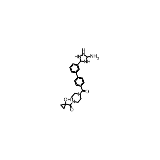 NC1NNC(c2cccc(-c3ccc(C(=O)N4CCN(C(=O)C5(O)CC5)CC4)cc3)c2)N1